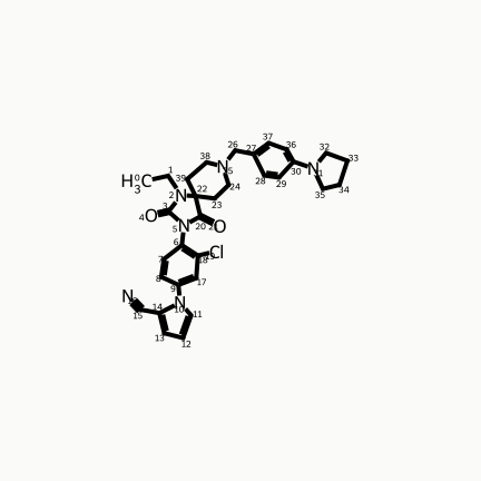 CCN1C(=O)N(c2ccc(-n3cccc3C#N)cc2Cl)C(=O)C12CCN(Cc1ccc(N3CCCC3)cc1)CC2